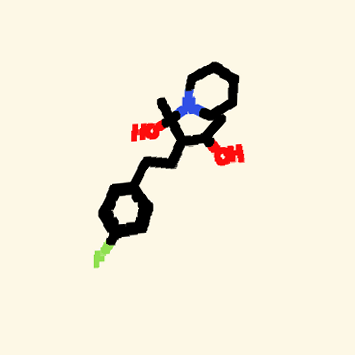 CC(O)C(CCc1ccc(F)cc1)C(C)(O)N1CCCCC1